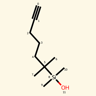 C#CCCCC(C)(C)[Si](C)(C)O